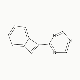 C1=C(c2ncncn2)c2ccccc21